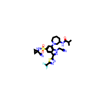 CC(C)C(=O)NC1CCCCN(c2cc(S(=O)(=O)NC3(C#N)CC3)cc3c(-c4nnc(C(F)F)s4)nn(CC#N)c23)C1